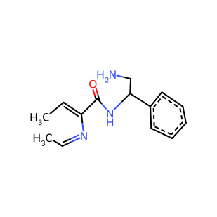 C/C=N\C(=C/C)C(=O)NC(CN)c1ccccc1